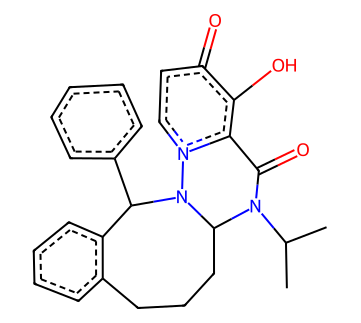 CC(C)N1C(=O)c2c(O)c(=O)ccn2N2C(c3ccccc3)c3ccccc3CCCC12